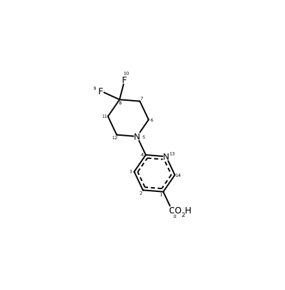 O=C(O)c1ccc(N2CCC(F)(F)CC2)nc1